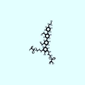 C=C(C)C(=O)OCCCc1cc(-c2ccc(-c3ccc(-c4ccc(CCC)cc4)c(CC)c3)cc2CC)cc(CCCOC(=O)C(=C)C)c1C